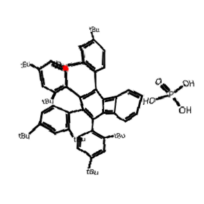 CC(C)(C)c1ccc(-c2c(-c3ccc(C(C)(C)C)cc3C(C)(C)C)c(-c3ccc(C(C)(C)C)cc3C(C)(C)C)c3c(c2-c2ccc(C(C)(C)C)cc2C(C)(C)C)=c2ccccc2=3)c(C(C)(C)C)c1.O=P(O)(O)O